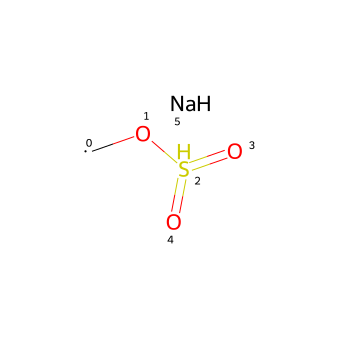 [CH2]O[SH](=O)=O.[NaH]